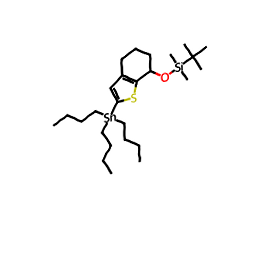 CCC[CH2][Sn]([CH2]CCC)([CH2]CCC)[c]1cc2c(s1)C(O[Si](C)(C)C(C)(C)C)CCC2